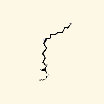 CCCCCNC(=O)NCCCC/C=C\CCCCCCCBr